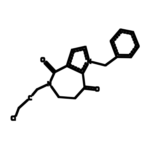 O=C1CCN(CCCCl)C(=O)c2ccn(Cc3ccccc3)c21